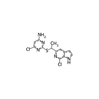 CC(Sc1nc(N)cc(Cl)n1)c1cc2cc[nH]c2c(Cl)n1